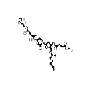 CNCCOC(=O)CCC(=O)Nc1ccn([C@H]2C[C@@H](OC(=O)CCC(C)=O)C(COPSCCC#N)O2)c(=O)n1